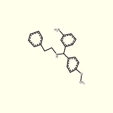 COc1ccc(C(NCCc2ccccc2)c2cccc(N)c2)cc1